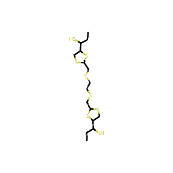 CCC(S)C1CSC(CSCCSCC2SCC(C(S)CC)S2)S1